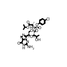 CC(C)OC(=O)[C@H](C)NP(=O)(OC[C@@H](O[C@H](CO)c1nnc2c(=O)[nH]c(N)nn12)C(C)O)Oc1ccc(Cl)cc1